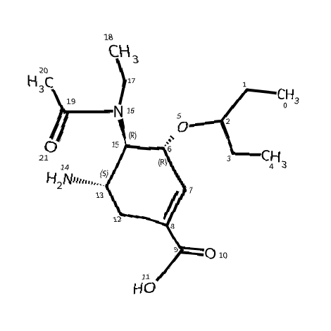 CCC(CC)O[C@@H]1C=C(C(=O)O)C[C@H](N)[C@H]1N(CC)C(C)=O